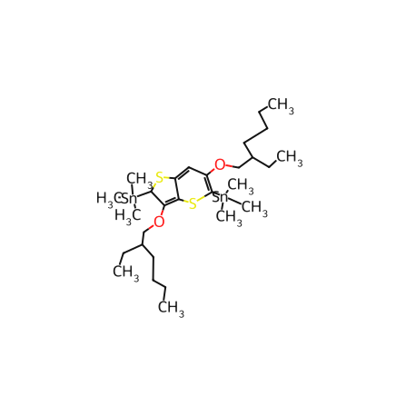 CCCCC(CC)COC1=[C]([Sn]([CH3])([CH3])[CH3])SC2=C(OCC(CC)CCCC)[CH]([Sn]([CH3])([CH3])[CH3])SC2=C1